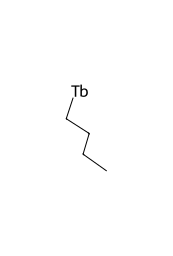 CCC[CH2][Tb]